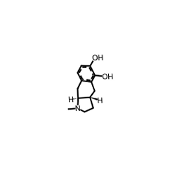 CN1CC[C@H]2Cc3c(ccc(O)c3O)C[C@@H]21